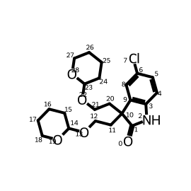 O=C1Nc2ccc(Cl)cc2C1(CCOC1CCCCO1)CCOC1CCCCO1